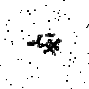 CC(C)(C)C(=O)OCC(F)(F)S(=O)(=O)[O-].[Na+]